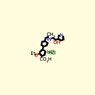 CCOc1cc(-c2ccc(C[C@@H](C)NC[C@@H](O)c3cccnc3)cc2)ccc1C(=O)O.Cl.Cl